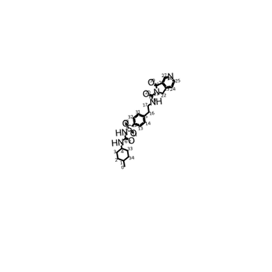 CC1CCC(NC(=O)NS(=O)(=O)c2ccc(CCNC(=O)N3Cc4ccncc4C3=O)cc2)CC1